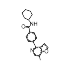 Cc1cnc(-c2ccc(C(=O)NC3CCCCC3)cc2)c2ccoc12